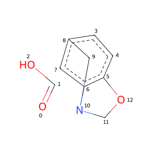 O=CO.c1cc2c3cc1CN3CO2